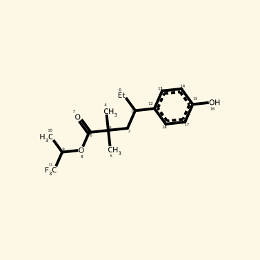 CCC(CC(C)(C)C(=O)OC(C)C(F)(F)F)c1ccc(O)cc1